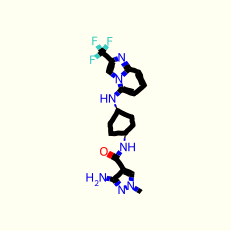 Cn1cc(C(=O)N[C@H]2CC[C@@H](Nc3cccc4nc(C(F)(F)F)cn34)CC2)c(N)n1